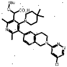 Cc1nc(C)c(C(OC(C)(C)C)C(=O)O)c(N2CCC(C)(C)CC2)c1-c1ccc2c(c1)CCN(c1cc(Cl)cnn1)C2